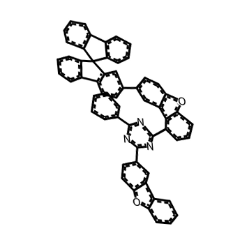 c1ccc(-c2nc(-c3ccc4oc5ccccc5c4c3)nc(-c3cccc4oc5ccc(-c6ccc7c(c6)C6(c8ccccc8-c8ccccc86)c6ccccc6-7)cc5c34)n2)cc1